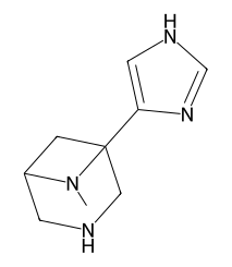 CN1C2CNCC1(c1c[nH]cn1)C2